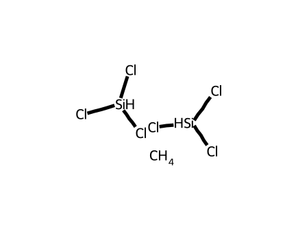 C.Cl[SiH](Cl)Cl.Cl[SiH](Cl)Cl